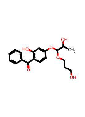 CC(O)C(OCCCO)Oc1ccc(C(=O)c2ccccc2)c(O)c1